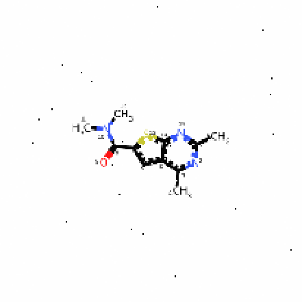 Cc1nc(C)c2cc(C(=O)N(C)C)sc2n1